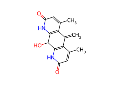 C=C1c2c(C)cc(=O)[nH]c2C(O)c2[nH]c(=O)cc(C)c21